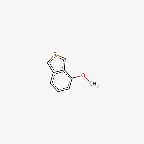 COc1cccc2[c]scc12